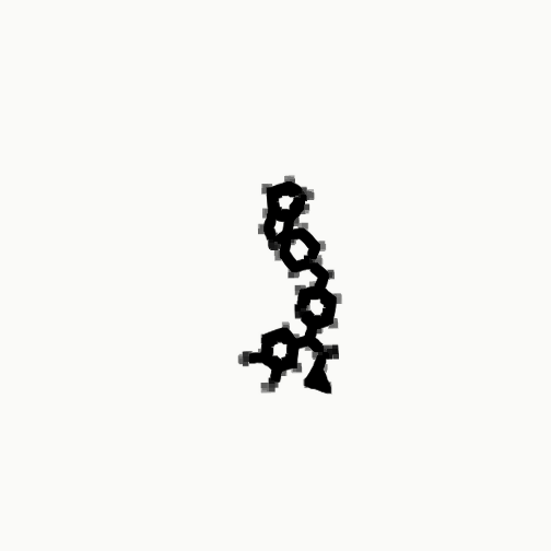 Fc1ccc(C(NC2CC2)c2ccc(CN3CCC4(CC3)OCc3ccncc34)cn2)cc1F